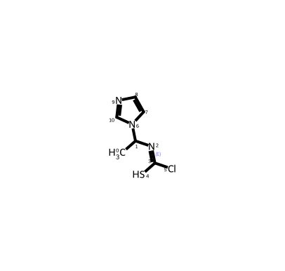 CC(/N=C(\S)Cl)n1ccnc1